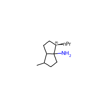 CCC[C@@H]1CCC2C(C)CCC21N